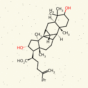 C=C(CC[C@@H](C(=O)O)[C@H]1[C@H](O)C[C@@]2(C)[C@@]34C5C[C@H]6C(C)(C)C(O)CC[C@]6(C)[C@@H](C3CC[C@]12C)[C@@H]54)C(C)C